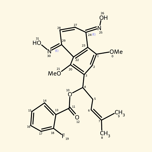 COc1cc(C(CC=C(C)C)OC(=O)c2ccccc2F)c(OC)c2c1/C(=N/O)C=C/C2=N\O